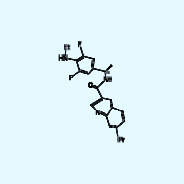 CCNc1c(F)cc([C@@H](C)NC(=O)c2cnc3cc(C(C)C)ccc3c2)cc1F